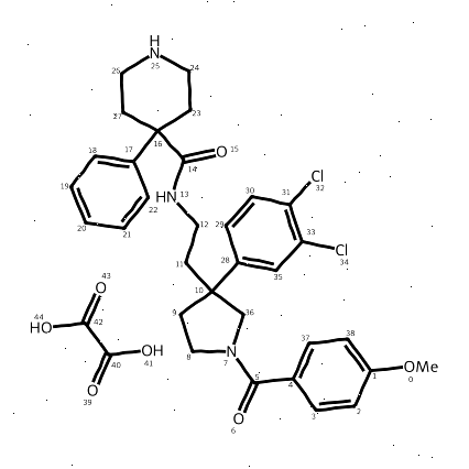 COc1ccc(C(=O)N2CCC(CCNC(=O)C3(c4ccccc4)CCNCC3)(c3ccc(Cl)c(Cl)c3)C2)cc1.O=C(O)C(=O)O